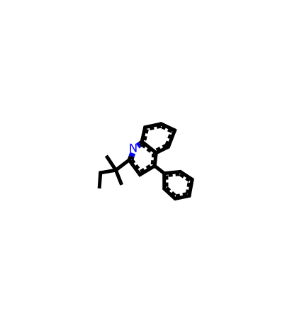 CCC(C)(C)c1cc(-c2ccccc2)c2ccccc2n1